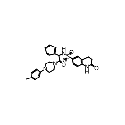 Cc1ccc(N2CCN(C(=O)C(NS(=O)(=O)c3ccc4c(c3)CCC(=O)N4)c3ccccc3)CC2)cc1